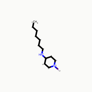 CCCCCCCNC1CCN(I)CC1